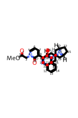 COC(=O)Cn1cccc(-c2nc3ccccc3n([C@@H]3C[C@H]4CC[C@@H](C3)N4C3C[C@H]4CCC[C@@H](C3)C4)c2=O)c1=O